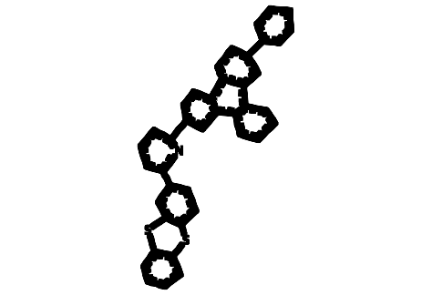 c1ccc(-c2ccc3c4ccc(-c5cccc(-c6ccc7c(c6)Sc6ccccc6S7)n5)cc4c4ccccc4c3c2)cc1